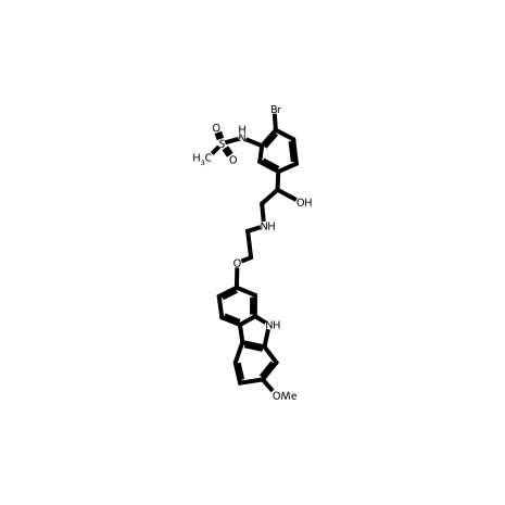 COc1ccc2c(c1)[nH]c1cc(OCCNCC(O)c3ccc(Br)c(NS(C)(=O)=O)c3)ccc12